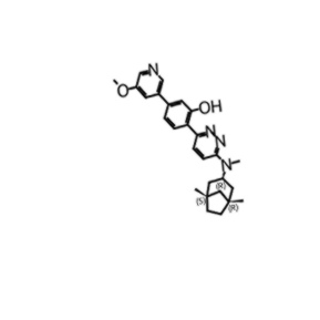 COc1cncc(-c2ccc(-c3ccc(N(C)[C@H]4C[C@]5(C)CC[C@](C)(C4)C5)nn3)c(O)c2)c1